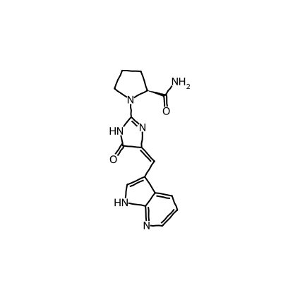 NC(=O)[C@@H]1CCCN1C1=NC(=Cc2c[nH]c3ncccc23)C(=O)N1